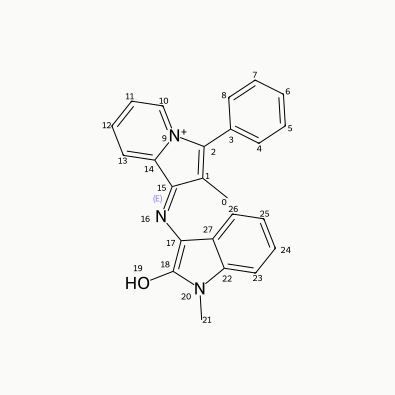 CC1=C(c2ccccc2)[n+]2ccccc2/C1=N/c1c(O)n(C)c2ccccc12